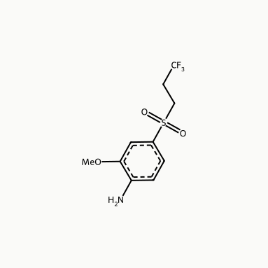 COc1cc(S(=O)(=O)CCC(F)(F)F)ccc1N